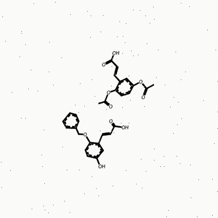 CC(=O)Oc1ccc(OC(C)=O)c(C=CC(=O)O)c1.O=C(O)C=Cc1cc(O)ccc1OCc1ccccc1